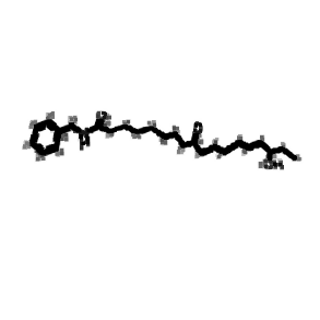 CCC(O)/C=C/C=C/C=C/C(=O)CCCCCCCC(=O)NCc1ccccc1